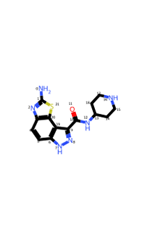 Nc1nc2ccc3[nH]nc(C(=O)NC4CCNCC4)c3c2s1